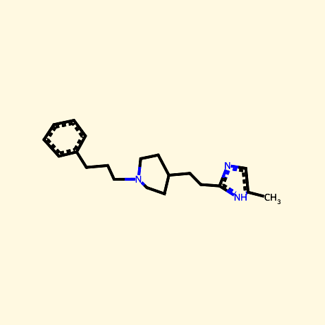 Cc1cnc(CCC2CCN(CCCc3ccccc3)CC2)[nH]1